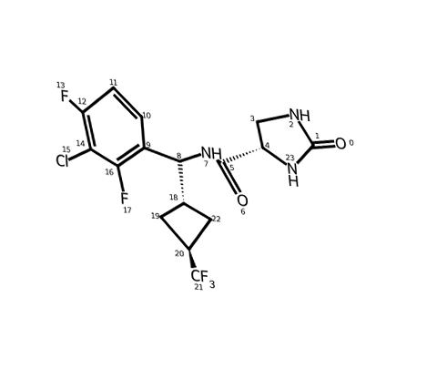 O=C1NC[C@@H](C(=O)NC(c2ccc(F)c(Cl)c2F)[C@H]2C[C@H](C(F)(F)F)C2)N1